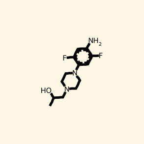 CC(O)CN1CCN(c2cc(F)c(N)cc2F)CC1